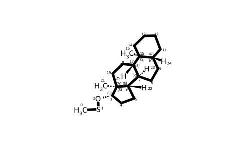 CSO[C@H]1CC[C@H]2[C@@H]3CC[C@H]4CCCC[C@]4(C)[C@H]3CC[C@]12C